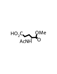 COC(=O)[C@@H](CCC(=O)O)NC(C)=O